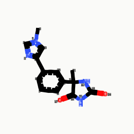 Cn1cnc(-c2[c]ccc(C3(C)NC(=O)NC3=O)c2)c1